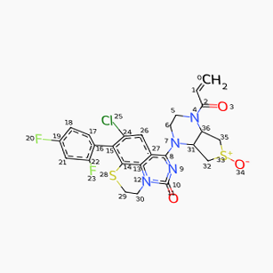 C=CC(=O)N1CCN(c2nc(=O)n3c4c(c(-c5ccc(F)cc5F)c(Cl)cc24)SCC3)C2C[S+]([O-])CC21